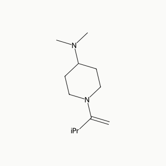 C=C(C(C)C)N1CCC(N(C)C)CC1